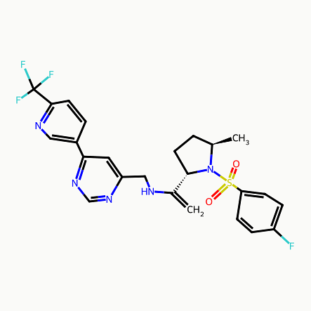 C=C(NCc1cc(-c2ccc(C(F)(F)F)nc2)ncn1)[C@@H]1CC[C@@H](C)N1S(=O)(=O)c1ccc(F)cc1